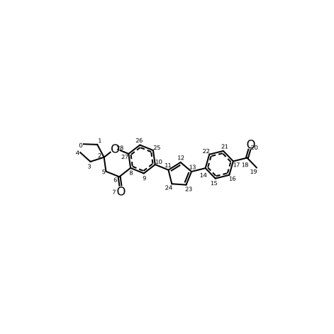 CCC1(CC)CC(=O)c2cc(C3=CC(c4ccc(C(C)=O)cc4)=CC3)ccc2O1